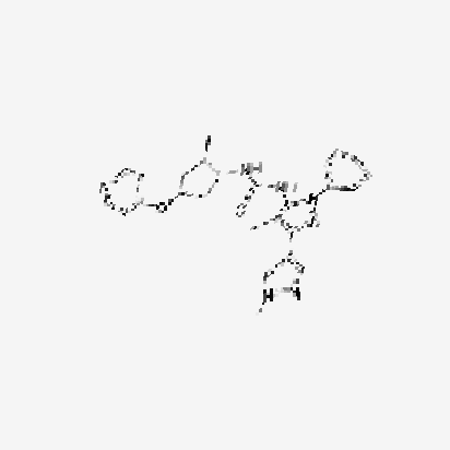 Cc1c(-c2cnn(C)c2)nn(-c2ccccc2)c1NC(=O)N[C@@H]1C[C@@H](Oc2ccncc2)C[C@H]1C